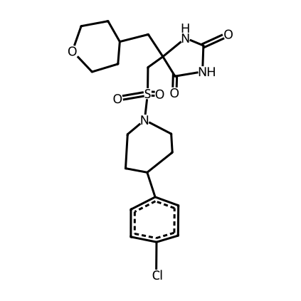 O=C1NC(=O)C(CC2CCOCC2)(CS(=O)(=O)N2CCC(c3ccc(Cl)cc3)CC2)N1